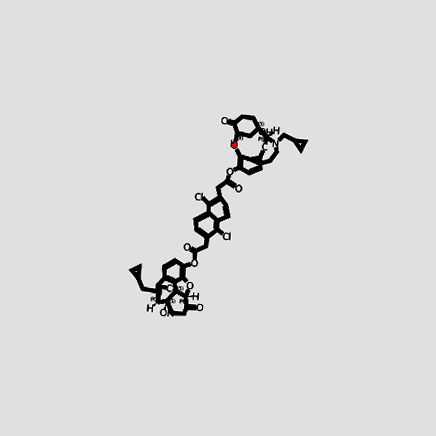 O=C(Cc1ccc2c(Cl)c(CC(=O)Oc3ccc4c5c3O[C@H]3C(=O)CC[C@@]6(O)[C@@H](C4)N(CC4CC4)CC[C@]536)ccc2c1Cl)Oc1ccc2c3c1O[C@@H]1C[C@@](O)(CCC1=O)[C@@H](C2)N(CC1CC1)CCC3